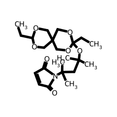 CCC1OCC2(CO1)COC(CC)(OC(C)(C)CC(C)(C)N1C(=O)C=CC1=O)OC2